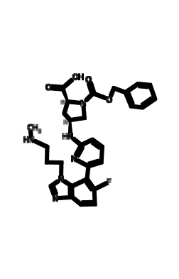 CNCCCn1cnc2ccc(F)c(-c3cccc(N[C@H]4C[C@@H](C(=O)O)N(C(=O)OCc5ccccc5)C4)n3)c21